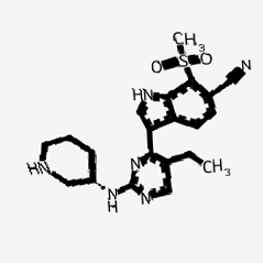 CCc1cnc(N[C@H]2CCCNC2)nc1-c1c[nH]c2c(S(C)(=O)=O)c(C#N)ccc12